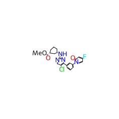 COC(=O)[C@@H]1CCC[C@H](Nc2ncc(Cl)c(-c3cccc(-n4ccc(F)cc4=O)c3)n2)C1